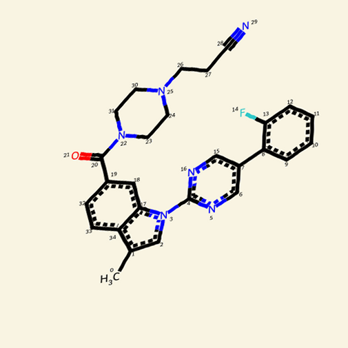 Cc1cn(-c2ncc(-c3ccccc3F)cn2)c2cc(C(=O)N3CCN(CCC#N)CC3)ccc12